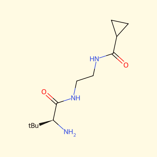 CC(C)(C)[C@H](N)C(=O)NCCNC(=O)C1CC1